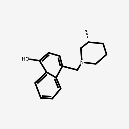 C[C@@H]1CCCN(Cc2ccc(O)c3ccccc23)C1